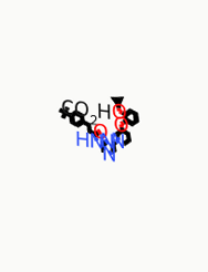 CC(C)(C(=O)O)c1ccc(CCC(=O)Nc2cncc(N3CCCC(Oc4ccccc4OC4CC4)C3)n2)cc1